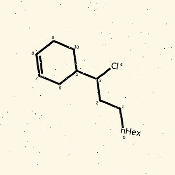 CCCCCCCCC(Cl)C1CC=CCC1